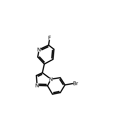 Fc1ccc(-c2cnc3ccc(Br)cn23)cn1